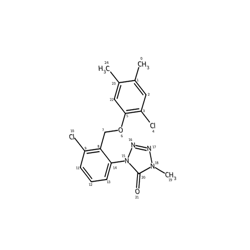 Cc1cc(Cl)c(OCc2c(Cl)cccc2-n2nnn(C)c2=O)cc1C